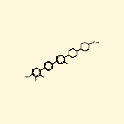 CCCCCC1CCC(C2CCC(c3ccc(-c4ccc(-c5ccc(CCCC)c(F)c5F)cc4)cc3F)CC2)CC1